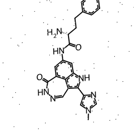 Cn1cnc(-c2[nH]c3cc(NC(=O)[C@H](N)CCc4ccccc4)cc4c3c2C=NNC4=O)c1